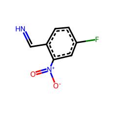 N=Cc1ccc(F)cc1[N+](=O)[O-]